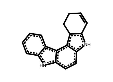 C1=Cc2[nH]c3ccc4[nH]c5ccccc5c4c3c2CC1